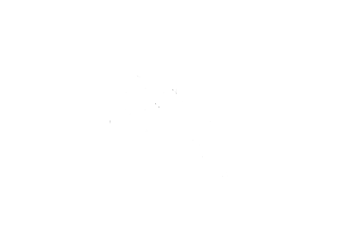 O=C1C(=Cc2ccccc2-c2cn(C(c3ccccc3)(c3ccccc3)c3ccccc3)cn2)CCC12CCOCC2